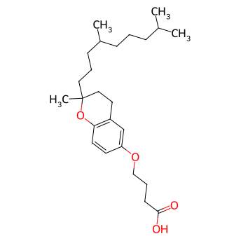 CC(C)CCCC(C)CCCC1(C)CCc2cc(OCCCC(=O)O)ccc2O1